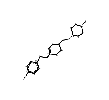 C[C@H]1CC[C@H](CCC2CC=C(CCc3ccc(F)cc3)CC2)CC1